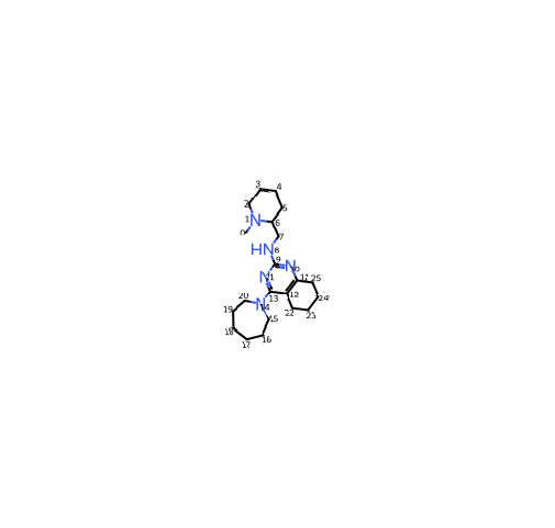 CN1CCCCC1CNc1nc2c(c(N3CCCCCC3)n1)CCCC2